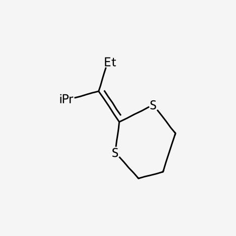 CCC(=C1SCCCS1)C(C)C